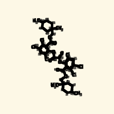 CC1CCC(C)(COC(=O)c2c(Cl)c(Cl)cc(Cl)c2OC(=O)C(=O)Oc2c(Cl)cc(Cl)c(Cl)c2C(=O)OCC2(C)CCC(C)CC2)CC1